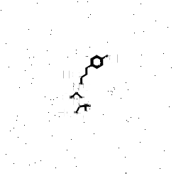 CC1(C)SC2C(NC(=O)C(O)CCc3ccc(CCl)cc3)C(=O)N2C1C(=O)O